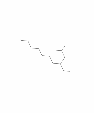 CCC(CCCCCCCl)CC(C)C